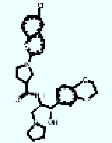 O=C(N[C@H](CN1CCCC1)[C@H](O)c1ccc2c(c1)OCCO2)C1CCN(c2ccc3cc(Cl)ccc3n2)C1